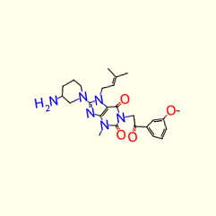 COc1cccc(C(=O)Cn2c(=O)c3c(nc(N4CCCC(N)C4)n3CC=C(C)C)n(C)c2=O)c1